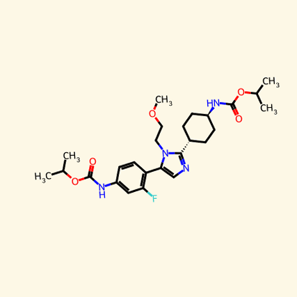 COCCn1c(-c2ccc(NC(=O)OC(C)C)cc2F)cnc1[C@H]1CC[C@H](NC(=O)OC(C)C)CC1